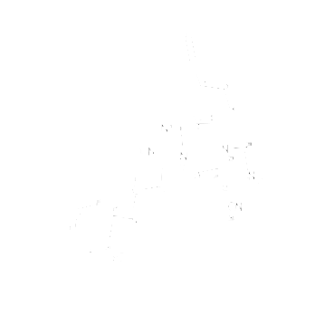 C#Cc1ccc2c(c1)-c1nnc(COCc3ccccc3F)n1Cc1c(C#N)ncn1-2